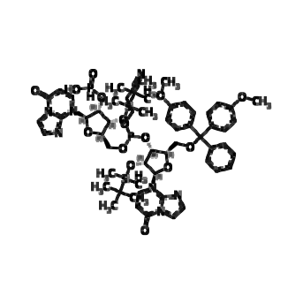 COc1ccc(C(OC[C@H]2O[C@@H](n3ccc(=O)n4ccnc34)[C@H](O[Si](C)(C)C(C)(C)C)[C@@H]2OP(OCCC#N)OC[C@H]2O[C@@H](n3ccc(=O)n4ccnc34)[C@H](O[PH](=O)O)[C@@H]2O[Si](C)(C)C(C)(C)C)(c2ccccc2)c2ccc(OC)cc2)cc1